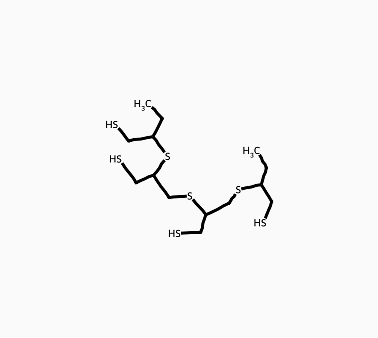 CCC(CS)SCC(CS)SCC(CS)SC(CC)CS